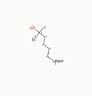 CCCCCCCCCC(C)(O)CC